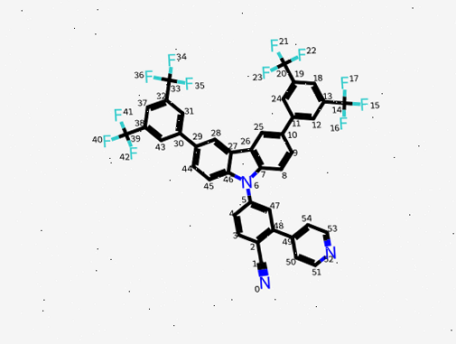 N#Cc1ccc(-n2c3ccc(-c4cc(C(F)(F)F)cc(C(F)(F)F)c4)cc3c3cc(-c4cc(C(F)(F)F)cc(C(F)(F)F)c4)ccc32)cc1-c1ccncc1